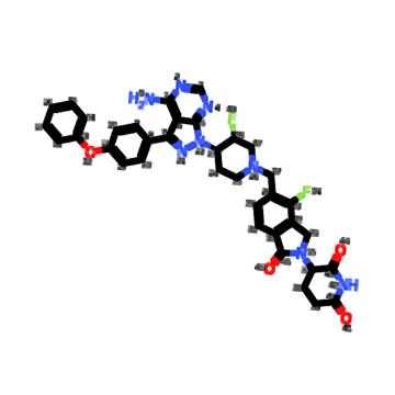 Nc1ncnc2c1c(-c1ccc(Oc3ccccc3)cc1)nn2[C@@H]1CCN(Cc2ccc3c(c2F)CN(C2CCC(=O)NC2=O)C3=O)C[C@@H]1F